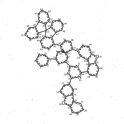 c1ccc(-c2cccc(-c3nc(-c4ccc5oc6ccccc6c5c4)nc(-c4cccc5oc6ccc(-c7ccc(-c8cccc9c8-c8ccccc8C98c9ccccc9-c9ccccc98)cc7)cc6c45)n3)c2)cc1